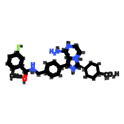 COc1ccc(F)cc1C(=O)NCc1ccc(-c2nc([C@H]3CC[C@H](C(=O)O)CC3)n3ccnc(N)c23)cc1